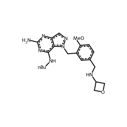 CCCCNc1nc(N)nc2cnn(Cc3cc(CNC4COC4)ccc3OC)c12